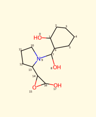 OC1CCCCC1C(O)N1CCCC1C1OC1O